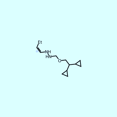 CC/C=C\NNCOCC(C1CC1)C1CC1